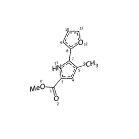 COC(=O)c1cc(C)c(-c2ccco2)[nH]1